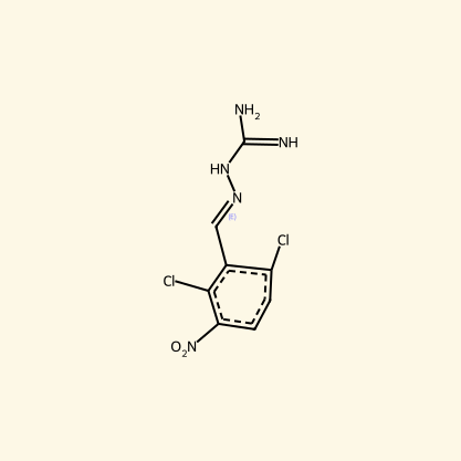 N=C(N)N/N=C/c1c(Cl)ccc([N+](=O)[O-])c1Cl